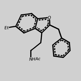 CCc1ccc2oc(Cc3ccccc3)c(CCNC(C)=O)c2c1